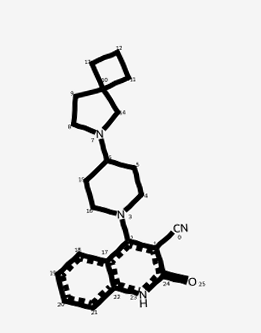 N#Cc1c(N2CCC(N3CCC4(CCC4)C3)CC2)c2ccccc2[nH]c1=O